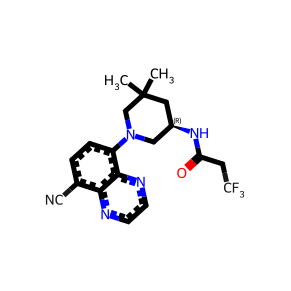 CC1(C)C[C@@H](NC(=O)CC(F)(F)F)CN(c2ccc(C#N)c3nccnc23)C1